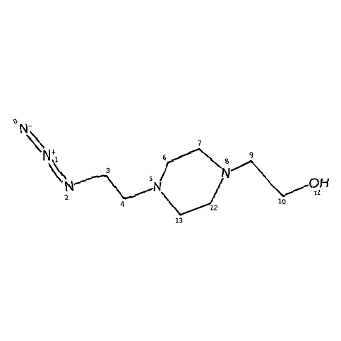 [N-]=[N+]=NCCN1CCN(CCO)CC1